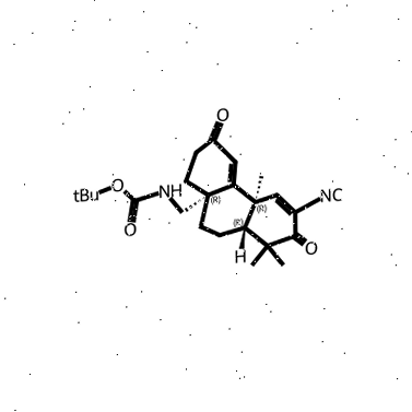 [C-]#[N+]C1=C[C@]2(C)C3=CC(=O)CC[C@]3(CNC(=O)OC(C)(C)C)CC[C@H]2C(C)(C)C1=O